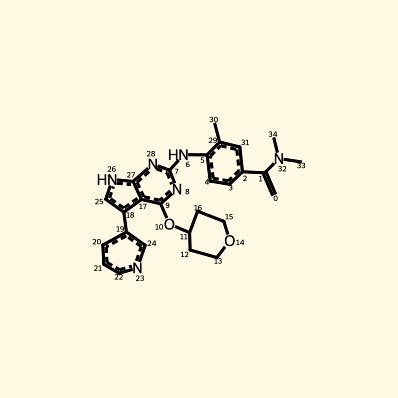 C=C(c1ccc(Nc2nc(OC3CCOCC3)c3c(-c4cccnc4)c[nH]c3n2)c(C)c1)N(C)C